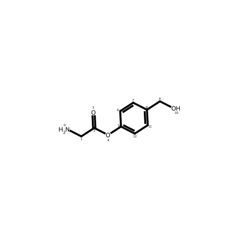 NCC(=O)Oc1ccc(CO)cc1